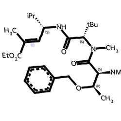 CCOC(=O)/C(C)=C/[C@@H](NC(=O)[C@@H](N(C)C(=O)[C@@H](NC)[C@@H](C)OCc1ccccc1)C(C)(C)C)C(C)C